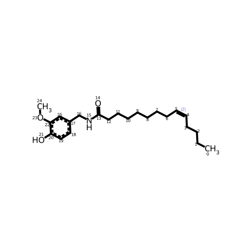 CCCC/C=C\CCCCCCCC(=O)NCc1ccc(O)c(OC)c1